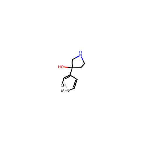 C/C=C(\C=C/NC)C1(O)CCNC1